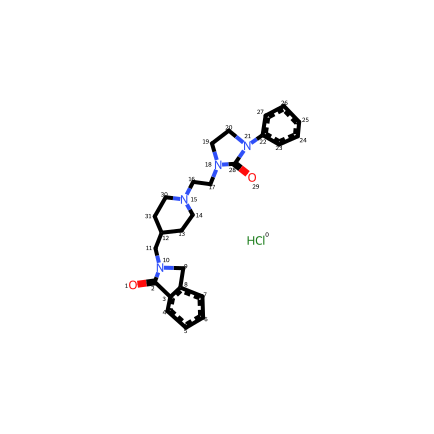 Cl.O=C1c2ccccc2CN1CC1CCN(CCN2CCN(c3ccccc3)C2=O)CC1